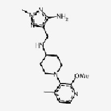 COc1nccc(C)c1N1CCC(NCc2nn(C)nc2N)CC1